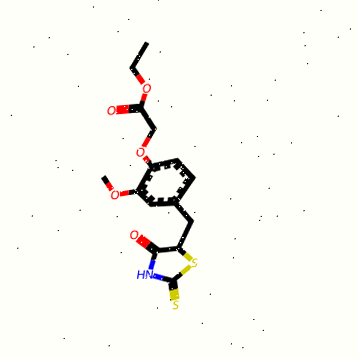 CCOC(=O)COc1ccc(CC2SC(=S)NC2=O)cc1OC